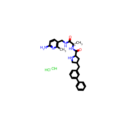 Cc1nc(N)ccc1CNC(=O)[C@H](C)NC(=O)C1CC(Cc2cccc(-c3ccccc3)c2)CN1.Cl.Cl